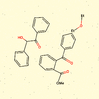 CCOCC.COC(=O)c1ccccc1C(=O)c1ccccc1.O=C(c1ccccc1)C(O)c1ccccc1